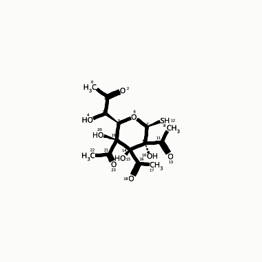 CC(=O)C(O)[C@H]1O[C@@H](S)[C@@](O)(C(C)=O)[C@](O)(C(C)=O)[C@]1(O)C(C)=O